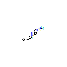 Fc1cc(CCCC2CCCC2)ccc1NSc1ccc2c(c1)CCN(Cc1nc(C(F)(F)F)cs1)C2